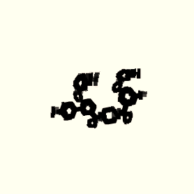 O=C(c1cc(F)cc(O[C@@H]2CCNC2)c1)N1CCN(C(=O)c2ccc(O[C@H]3CCNC3)c(-c3ccc(F)cc3)c2)CC1